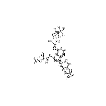 CC(C)(C)OC(=O)NCc1nn(-c2ccc(OC(F)(F)F)cc2)c2nccc(O[C@H]3C[C@H](O[Si](C)(C)C(C)(C)C)C3)c12